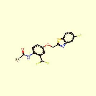 CC(=O)Nc1ccc(OCc2nc3cc(F)ccc3s2)cc1C(F)F